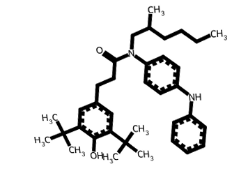 CCCCC(C)CN(C(=O)CCc1cc(C(C)(C)C)c(O)c(C(C)(C)C)c1)c1ccc(Nc2ccccc2)cc1